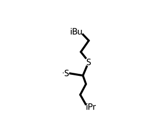 CCC(C)CCSC([S])CCC(C)C